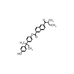 CCC(C)C(=O)c1ccc2cc(C(=O)Oc3ccc(C(C)(CC)c4ccc(O)cc4)cc3)ccc2c1